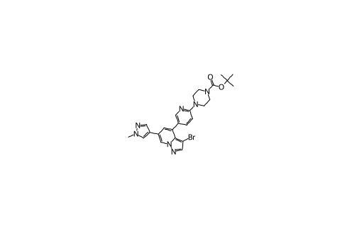 Cn1cc(-c2cc(-c3ccc(N4CCN(C(=O)OC(C)(C)C)CC4)nc3)c3c(Br)cnn3c2)cn1